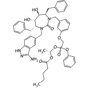 CCCCC(=O)O[C@H](C)OP(=O)(COc1cccc(CN2C(=O)N(Cc3ccc4[nH]nc(N)c4c3)[C@H](Cc3ccccc3)[C@H](O)[C@@H](O)[C@H]2Cc2ccccc2)c1)Oc1ccccc1